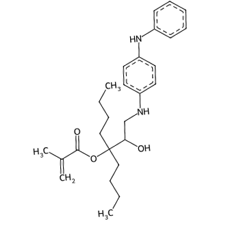 C=C(C)C(=O)OC(CCCC)(CCCC)C(O)CNc1ccc(Nc2ccccc2)cc1